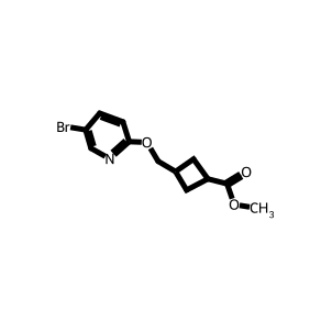 COC(=O)C1CC(COc2ccc(Br)cn2)C1